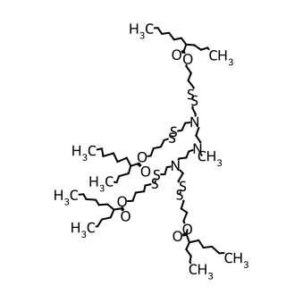 CCCCCCC(CCCC)C(=O)OCCCCSSCCN(CCCN(C)CCCN(CCSSCCCCOC(=O)C(CCCC)CCCCCC)CCSSCCCCOC(=O)C(CCCC)CCCCCC)CCSSCCCCOC(=O)C(CCCC)CCCCCC